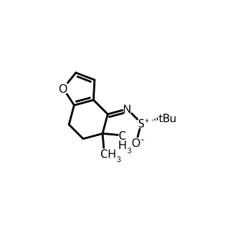 CC1(C)CCc2occc2C1=N[S@@+]([O-])C(C)(C)C